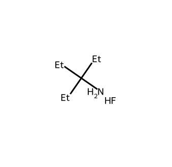 CCC(N)(CC)CC.F